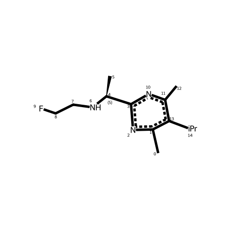 Cc1nc([C@H](C)NCCF)nc(C)c1C(C)C